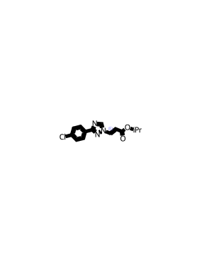 CC(C)OC(=O)/C=C/n1cnc(-c2ccc(Cl)cc2)n1